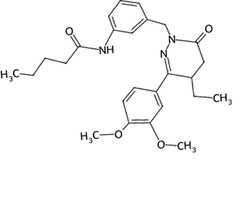 CCCCC(=O)Nc1cccc(CN2N=C(c3ccc(OC)c(OC)c3)C(CC)CC2=O)c1